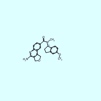 CN(C(=O)c1ccc2nc(N)c3c(c2c1)COC3)[C@@H]1CCc2cc(OC(F)(F)F)ccc21